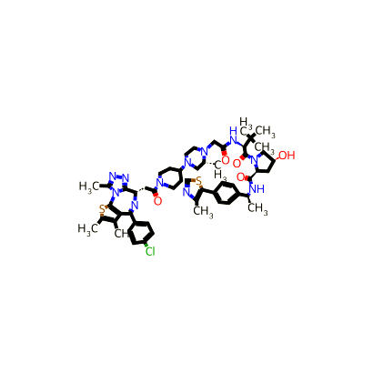 Cc1ncsc1-c1ccc([C@H](C)NC(=O)[C@@H]2C[C@@H](O)CN2C(=O)[C@@H](NC(=O)CN2CCN(C3CCN(C(=O)C[C@@H]4N=C(c5ccc(Cl)cc5)c5c(sc(C)c5C)-n5c(C)nnc54)CC3)C[C@H]2C)C(C)(C)C)cc1